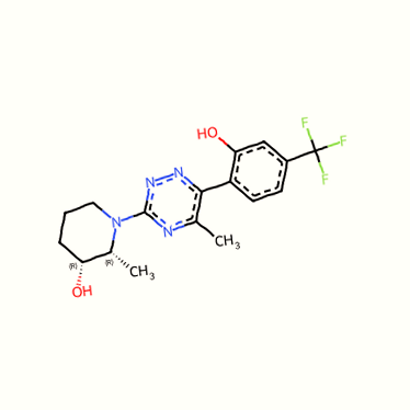 Cc1nc(N2CCC[C@@H](O)[C@H]2C)nnc1-c1ccc(C(F)(F)F)cc1O